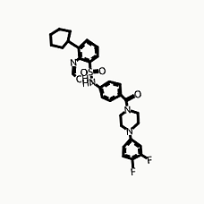 C/C=N\c1c(C2CCCCC2)cccc1S(=O)(=O)Nc1ccc(C(=O)N2CCN(c3ccc(F)c(F)c3)CC2)cc1